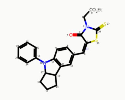 CCOC(=O)CN1C(=O)/C(=C\c2ccc3c(c2)C2CCCC2N3c2ccccc2)SC1=S